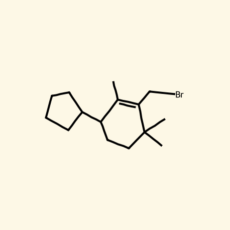 CC1=C(CBr)C(C)(C)CCC1C1CCCC1